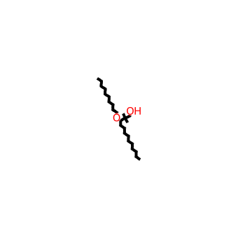 CCCCCCCCCCOC(CCCCCCCCCC)C(C)(C)CO